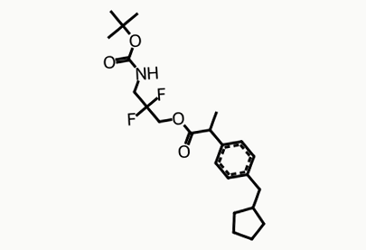 CC(C(=O)OCC(F)(F)CNC(=O)OC(C)(C)C)c1ccc(CC2CCCC2)cc1